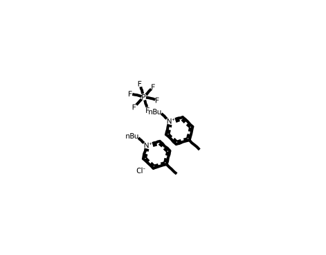 CCCC[n+]1ccc(C)cc1.CCCC[n+]1ccc(C)cc1.F[P-](F)(F)(F)(F)F.[Cl-]